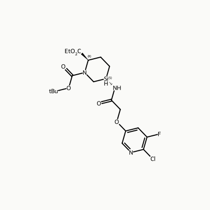 CCOC(=O)[C@H]1CC[Si@H](NC(=O)COc2cnc(Cl)c(F)c2)CN1C(=O)OC(C)(C)C